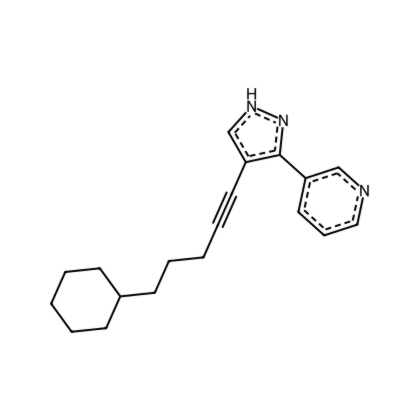 C(#Cc1c[nH]nc1-c1cccnc1)CCCC1CCCCC1